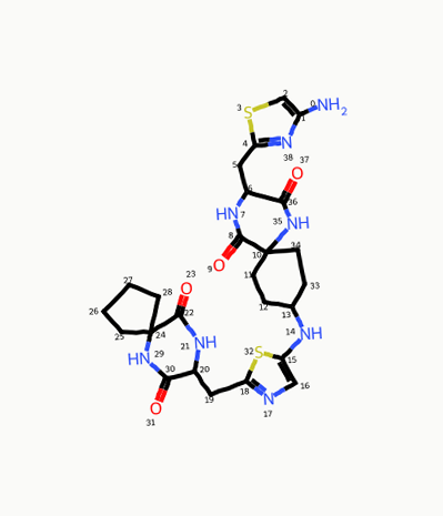 Nc1csc(CC2NC(=O)C3(CCC(Nc4cnc(CC5NC(=O)C6(CCCC6)NC5=O)s4)CC3)NC2=O)n1